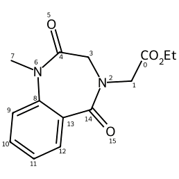 CCOC(=O)CN1CC(=O)N(C)c2ccccc2C1=O